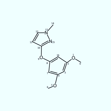 COc1cc(OC)cc(Oc2c[c]n(C)n2)c1